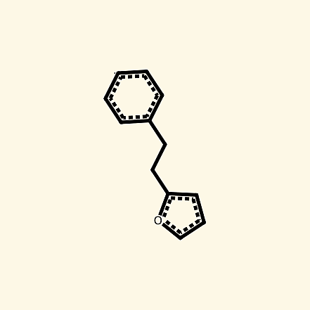 [c]1ccc(CCc2ccco2)cc1